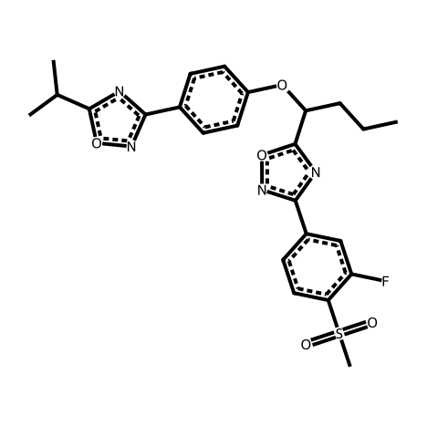 CCCC(Oc1ccc(-c2noc(C(C)C)n2)cc1)c1nc(-c2ccc(S(C)(=O)=O)c(F)c2)no1